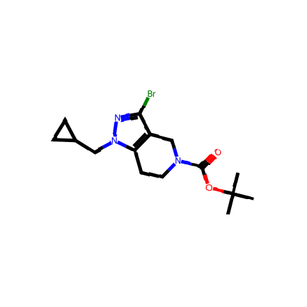 CC(C)(C)OC(=O)N1CCc2c(c(Br)nn2CC2CC2)C1